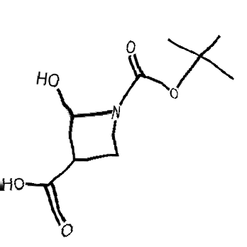 CC(C)(C)OC(=O)N1CC(C(=O)O)C1O